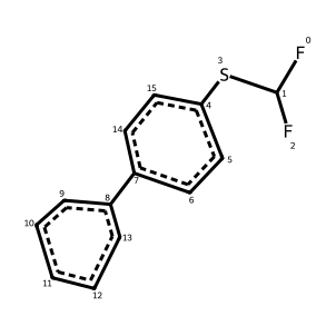 FC(F)Sc1ccc(-c2ccccc2)cc1